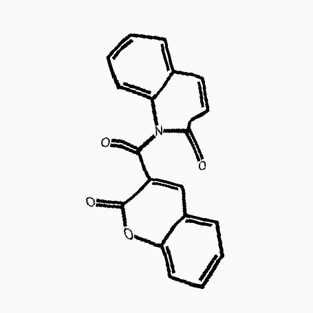 O=C(c1cc2ccccc2oc1=O)n1c(=O)ccc2ccccc21